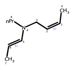 C/C=C\CN(/C=C/C)CCC